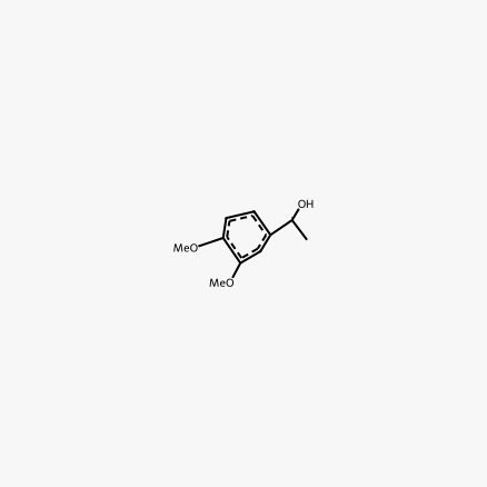 COc1ccc([C](C)O)cc1OC